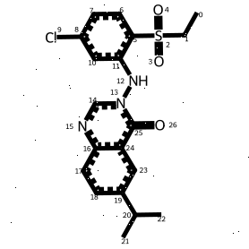 CCS(=O)(=O)c1ccc(Cl)cc1Nn1cnc2ccc(C(C)C)cc2c1=O